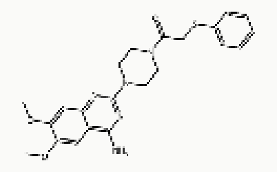 COc1cc2nc(N3CCN(C(=O)CSc4ccccc4)CC3)nc(N)c2cc1OC